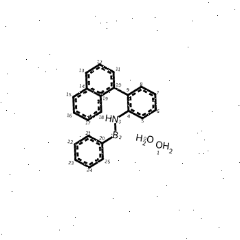 O.O.[B](Nc1ccccc1-c1cccc2ccccc12)c1ccccc1